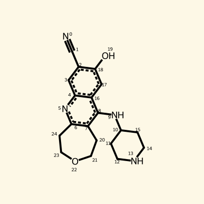 N#Cc1cc2nc3c(c(NC4CCNCC4)c2cc1O)CCOCC3